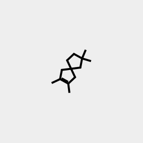 CC1=C(C)CC2(CCC(C)(C)C2)C1